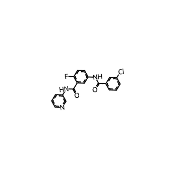 O=C(Nc1ccc(F)c(C(=O)Nc2cccnc2)c1)c1cccc(Cl)c1